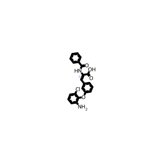 Nc1cccc(Cl)c1Oc1cccc(/C=C(/NC(=O)c2ccccc2)C(=O)O)c1